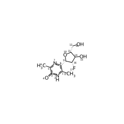 Cc1[nH]c(=O)c(C)nc1[C@@H]1O[C@H](CO)C(O)[C@@H]1F